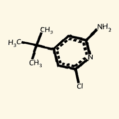 CC(C)(C)c1cc(N)nc(Cl)c1